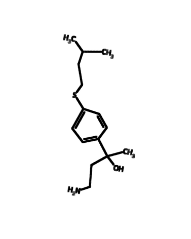 CC(C)CCSc1ccc(C(C)(O)CCN)cc1